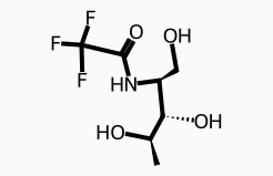 C[C@@H](O)[C@@H](O)[C@H](CO)NC(=O)C(F)(F)F